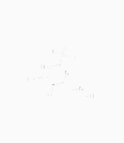 C=N/C=C(\N=C(/C)S(=O)(=O)Cl)C(=O)OC